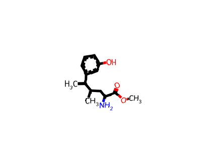 COC(=O)C(N)CC(C)C(C)c1cccc(O)c1